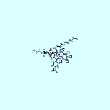 CCCCCCCCc1ccc(C(=CC2(C=C(c3ccc(CCCCCCCC)cc3)c3ccc(N(C)C)cc3)OC(=O)c3c(Cl)c(Cl)c(Cl)c(Cl)c32)c2ccc(N(C)C)cc2)cc1